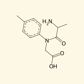 Cc1ccc(N(CC(=O)O)C(=O)C(C)N)cc1